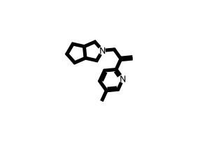 C=C(CN1CC2CCCC2C1)c1ccc(C)cn1